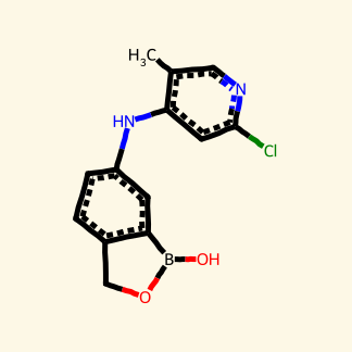 Cc1cnc(Cl)cc1Nc1ccc2c(c1)B(O)OC2